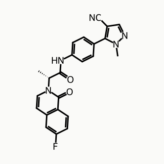 C[C@H](C(=O)Nc1ccc(-c2c(C#N)cnn2C)cc1)n1ccc2cc(F)ccc2c1=O